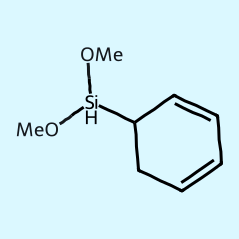 CO[SiH](OC)C1C=CC=CC1